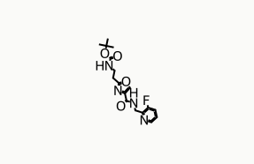 CC(C)(C)OC(=O)NCCc1nc(C(=O)NCc2ncccc2F)co1